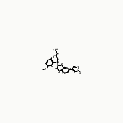 COc1ccc(Cl)c(N(CCCCl)c2ccc3ncc(-c4cnn(C)c4)nc3c2)c1